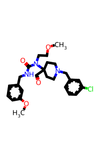 COCCN(C(=O)NCc1cccc(OC)c1)C1(C=O)CCN(Cc2cccc(Cl)c2)CC1